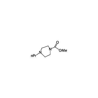 [CH2]CCN1CCN(C(=O)OC)CC1